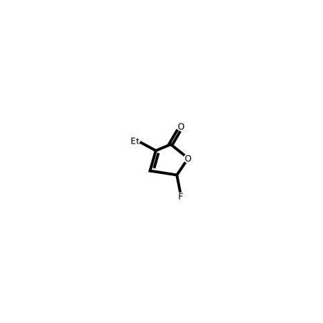 CCC1=CC(F)OC1=O